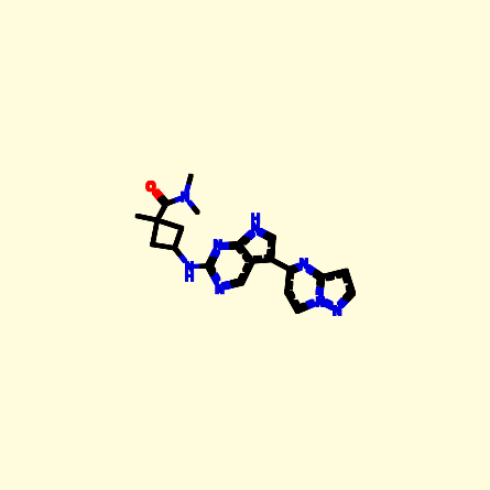 CN(C)C(=O)C1(C)CC(Nc2ncc3c(-c4ccn5nccc5n4)c[nH]c3n2)C1